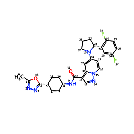 Cc1nnc([C@H]2CC[C@H](NC(=O)c3cnn4ccc(N5CCC[C@@H]5c5cc(F)ccc5F)cc34)CC2)o1